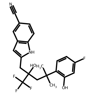 CC(C)(CC(O)(Cc1cc2cc(C#N)ccc2[nH]1)C(F)(F)F)c1ccc(F)cc1O